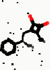 Cc1c(C[C@H](C)c2ccccc2)c(=O)c1=O